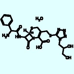 NC(C(=O)NC1C(=O)N2C(C(=O)O)=C(CSc3nnnn3CC(O)CO)CS[C@H]12)c1ccccc1.O